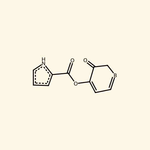 O=C1CB=CC=C1OC(=O)c1ccc[nH]1